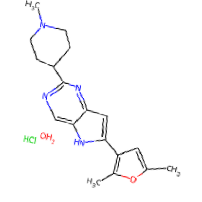 Cc1cc(-c2cc3nc(C4CCN(C)CC4)ncc3[nH]2)c(C)o1.Cl.O